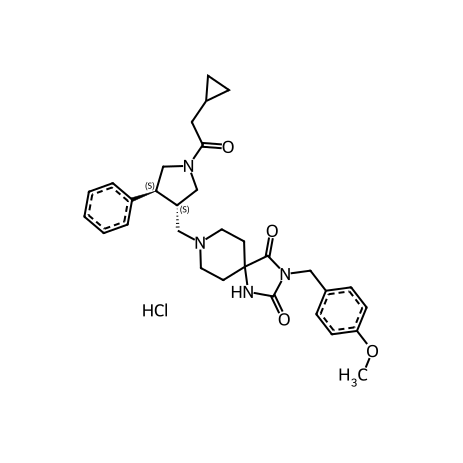 COc1ccc(CN2C(=O)NC3(CCN(C[C@H]4CN(C(=O)CC5CC5)C[C@@H]4c4ccccc4)CC3)C2=O)cc1.Cl